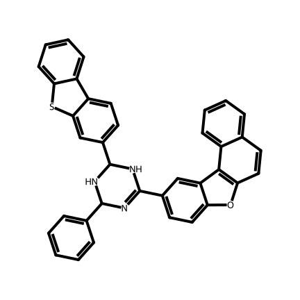 c1ccc(C2N=C(c3ccc4oc5ccc6ccccc6c5c4c3)NC(c3ccc4c(c3)sc3ccccc34)N2)cc1